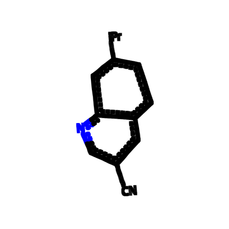 CC(C)c1ccc2cc(C#N)cnc2c1